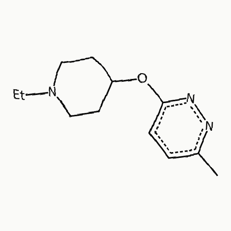 CCN1CCC(Oc2ccc(C)nn2)CC1